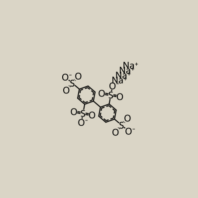 O=S(=O)([O-])c1ccc(-c2ccc(S(=O)(=O)[O-])cc2S(=O)(=O)[O-])c(S(=O)(=O)[O-])c1.[Na+].[Na+].[Na+].[Na+]